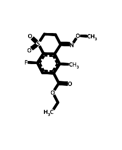 CCOC(=O)c1cc(F)c2c(c1C)/C(=N/OC)CCS2(=O)=O